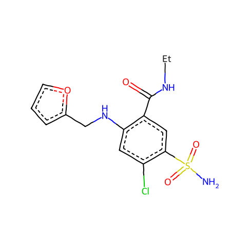 [CH2]CNC(=O)c1cc(S(N)(=O)=O)c(Cl)cc1NCc1ccco1